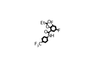 CCC(=O)Oc1c(F)cc(F)cc1C(=O)Nc1ccc(C(F)(F)F)cc1